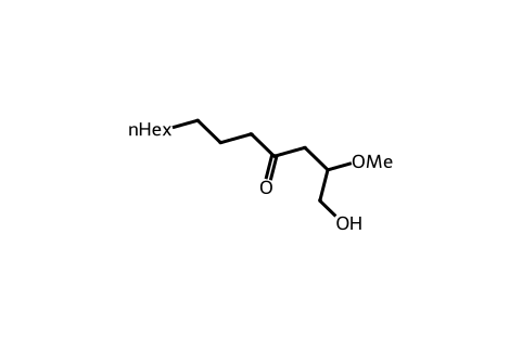 CCCCCCCCCC(=O)CC(CO)OC